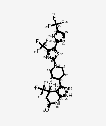 O=C1CC(O)(C(F)(F)F)c2c(C3CCN(c4nc(C(F)(F)F)c(-c5nc(C(F)(F)F)cs5)s4)CC3)n[nH]c2N1